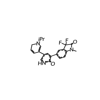 CC(C)N1C=C(c2c[nH]c(=O)c(-c3ccc4c(c3)C(F)(F)C(=O)N4C)c2)C=CC1